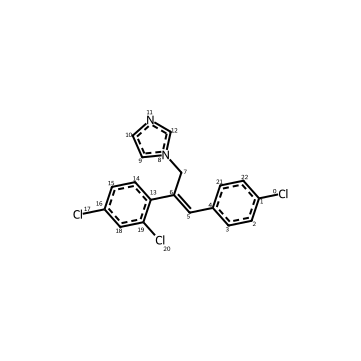 Clc1ccc(C=C(Cn2ccnc2)c2ccc(Cl)cc2Cl)cc1